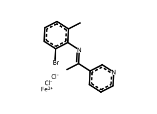 CC(=Nc1c(C)cccc1Br)c1cccnc1.[Cl-].[Cl-].[Fe+2]